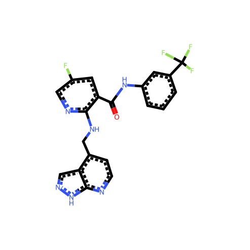 O=C(Nc1cccc(C(F)(F)F)c1)c1cc(F)cnc1NCc1ccnc2[nH]ncc12